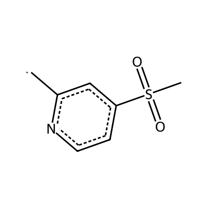 [CH2]c1cc(S(C)(=O)=O)ccn1